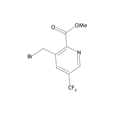 COC(=O)c1ncc(C(F)(F)F)cc1CBr